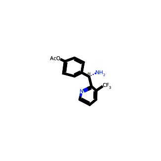 CC(=O)Oc1ccc([C@H](N)c2ncccc2C(F)(F)F)cc1